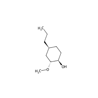 CCC[C@H]1CC[C@@H](O)[C@H](OC)C1